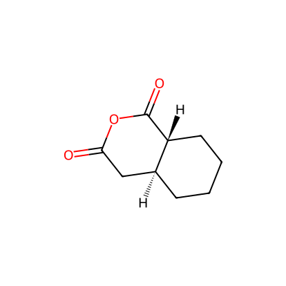 O=C1C[C@@H]2CCCC[C@H]2C(=O)O1